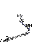 CC/C=C\C[C@H](O)\C=C/C=C/C=C/[C@H](O)C/C=C\C/C=C\CCCCCCCCCCCCCCC(=O)OC